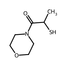 CC(S)C(=O)N1CCOCC1